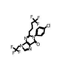 O=c1c2ncn(CC(F)(F)F)c2nc(CCCC(F)(F)F)n1-c1ccc(Cl)cc1